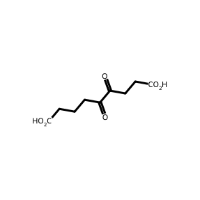 O=C(O)CCCC(=O)C(=O)CCC(=O)O